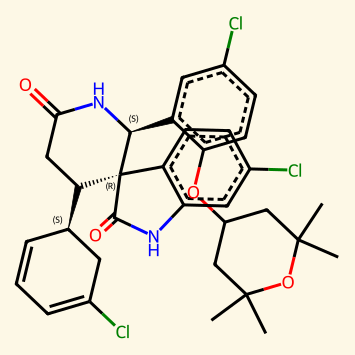 CC1(C)CC(Oc2ccc(Cl)cc2[C@@H]2NC(=O)CC([C@@H]3C=CC=C(Cl)C3)[C@]23C(=O)Nc2cc(Cl)ccc23)CC(C)(C)O1